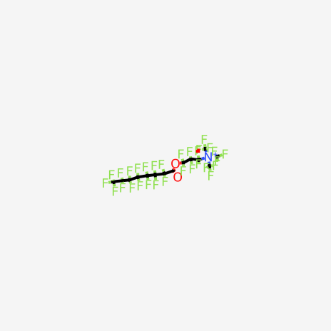 O=C(OC(F)(F)C(F)(F)C(F)(F)[N+](C(F)(F)F)(C(F)(F)F)C(F)(F)F)C(F)(F)C(F)(F)C(F)(F)C(F)(F)C(F)(F)C(F)(F)C(F)(F)F